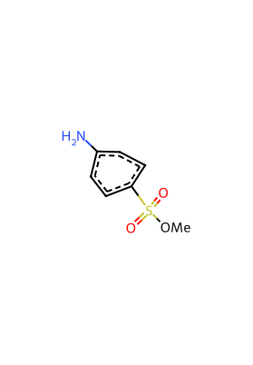 COS(=O)(=O)c1ccc(N)cc1